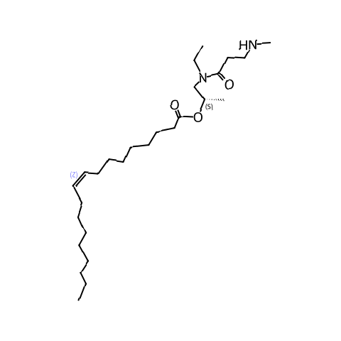 CCCCCCCC/C=C\CCCCCCCC(=O)O[C@@H](C)CN(CC)C(=O)CCNC